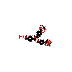 CC1(C)OCC(c2ccc(COCC(OCc3ccc(C4COC(C)(C)O4)cc3)c3ccc(CO)cc3)cc2)O1